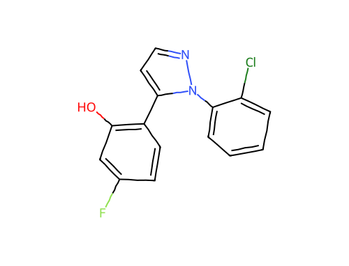 Oc1cc(F)ccc1-c1ccnn1-c1ccccc1Cl